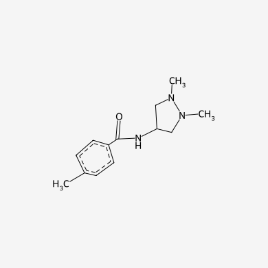 Cc1ccc(C(=O)NC2CN(C)N(C)C2)cc1